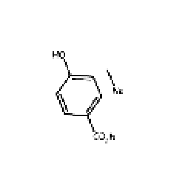 O=C(O)c1ccc(O)cc1.[CH3][Na]